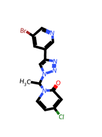 CC(n1cc(-c2cncc(Br)c2)nn1)n1ccc(Cl)cc1=O